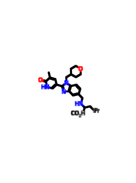 Cc1cc(-c2nc3cc(CNC(CC(C)C)C(=O)O)ccc3n2CC2CCOCC2)c[nH]c1=O